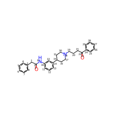 O=C(Cc1ccccc1)Nc1cccc(C2CCN(CCCC(=O)c3ccccc3)CC2)c1